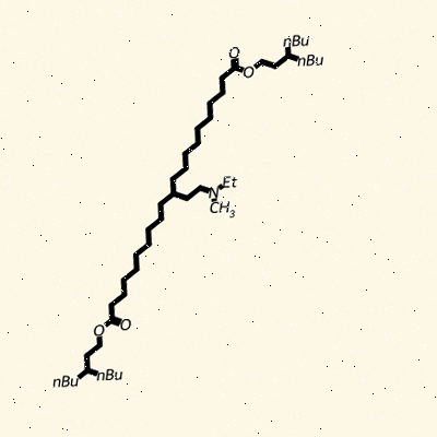 CCCCC(CCCC)CCOC(=O)CCCCCCCCCC(CCCCCCCCCC(=O)OCCC(CCCC)CCCC)CCN(C)CC